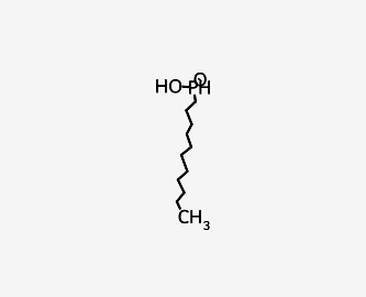 CCCCCCCCCCC[PH](=O)O